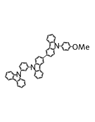 COc1ccc(-n2c3ccccc3c3cc(-c4ccc5c(c4)c4ccccc4n5-c4cccc(-n5c6ccccc6c6ccccc65)c4)ccc32)cc1